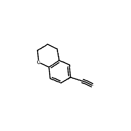 [C]#Cc1ccc2c(c1)CCCO2